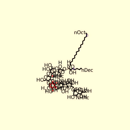 CCCCCCCC/C=C\CCCCCCCCCCCCCCCC(=O)N[C@@H](CO[C@@H]1OC(CO)[C@@H](O[C@@H]2OC(CO)[C@H](O)[C@H](O[C@@H]3OC(CO)[C@@H](O[C@@H]4OC(CO)[C@H](O)[C@H](O[C@@H]5OC(CO)[C@@H](O[C@@H]6OC(CO[C@]7(C(=O)O)CC(O)[C@@H](NC(C)=O)C([C@H](O)[C@H](O)CO)O7)[C@H](O)[C@H](O)C6O)[C@H](O)C5NC(C)=O)C4O)[C@H](O[C@H]4OC(C)[C@@H](O)C(O)[C@@H]4O)C3NC(C)=O)C2O)[C@H](O)C1O)[C@H](O)/C=C/CCCCCCCCCCCCC